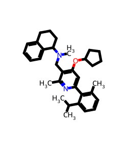 Cc1cccc(C(C)C)c1-c1cc(OC2CCCC2)c(CN(C)C2CCCc3ccccc32)c(C)n1